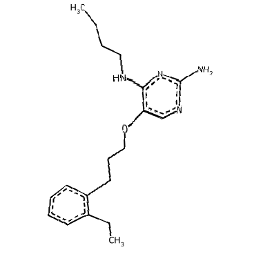 CCCCNc1nc(N)ncc1OCCCc1ccccc1CC